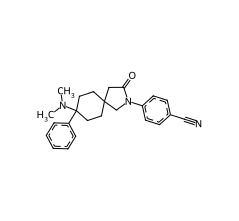 CN(C)C1(c2ccccc2)CCC2(CC1)CC(=O)N(c1ccc(C#N)cc1)C2